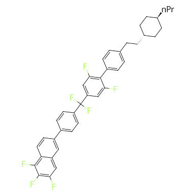 CCC[C@H]1CC[C@H](CCc2ccc(-c3c(F)cc(C(F)(F)c4ccc(-c5ccc6c(F)c(F)c(F)cc6c5)cc4)cc3F)cc2)CC1